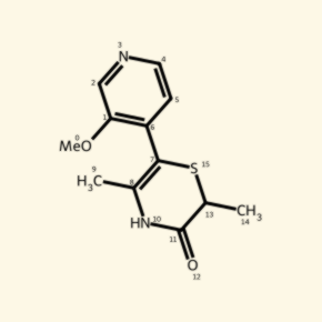 COc1cnccc1C1=C(C)NC(=O)C(C)S1